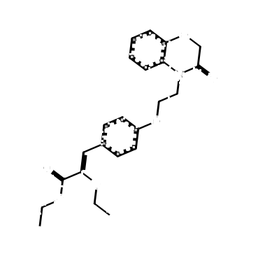 CCOC(=O)/C(=C/c1ccc(OCCN2C(=O)COc3ccccc32)cc1)OCC